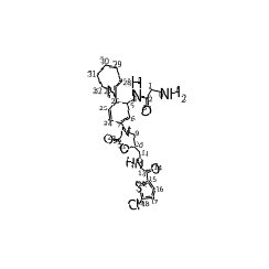 NCC(=O)NC1C=C(N2CC(CNC(=O)c3ccc(Cl)s3)OC2=O)C=CC1N1CCCCC1